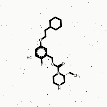 CC[C@@H]1CNCCN1C(=O)OCc1cc(OCCC2CCCCC2)ccc1F.Cl